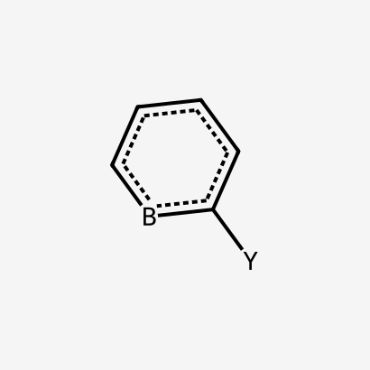 [Y][c]1bcccc1